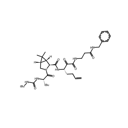 C=CCC[C@H](NC(=O)[C@@H]1[C@@H]2[C@H](CN1C(=O)[C@@H](NC(=O)NC(C)(C)C)C(C)(C)C)C2(C)C)C(=O)C(=O)NCCC(=O)NCc1ccccc1